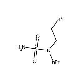 CCCN(CCC(C)C)S(N)(=O)=O